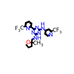 CC1(CNc2nc(Nc3ccnc(C(F)(F)F)c3)nc(-c3cccc(C(F)(F)F)n3)n2)CCCO1